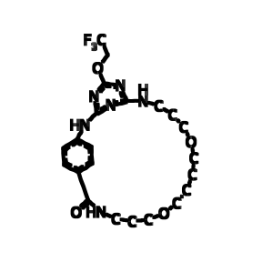 O=C1NCCCOCCCCOCCCNc2nc(nc(OCC(F)(F)F)n2)Nc2ccc1cc2